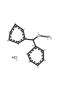 Cl.NOC(c1ccccc1)c1ccccc1